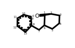 O=C1CCCCC1Cc1ccccc1